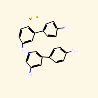 Nc1ccc(-c2cccc(N)c2)cc1.Nc1ccc(-c2cccc(N)c2)cc1.O=S=O